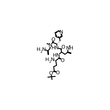 C=C(N)CN(C)C(=O)[C@H](Cc1cccnc1)NC(=O)C(CC(=C)NC)NC(=O)[C@@H](N)CCC(=O)OC(C)(C)C